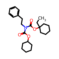 CCC1(OC(=O)N(CCc2ccccc2)C(=O)OC2CCCCC2)CCCCC1